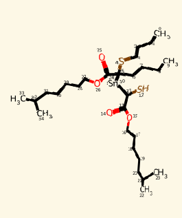 CCCCS[C](CCCC)([Sn][CH](S)C(=O)OCCCCCC(C)C)C(=O)OCCCCCC(C)C